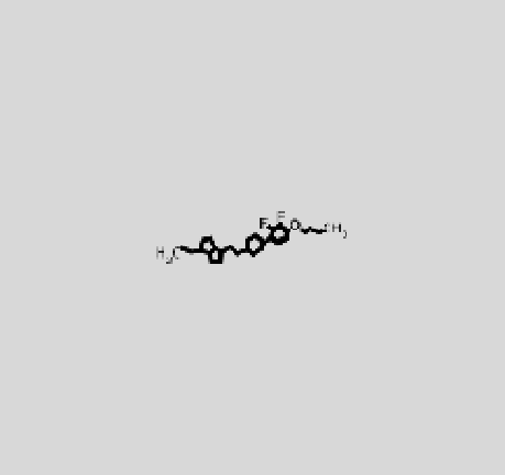 CCCCOc1ccc(C2CCC(CCC3=CCC4C(CCC)CCC34)CC2)c(F)c1F